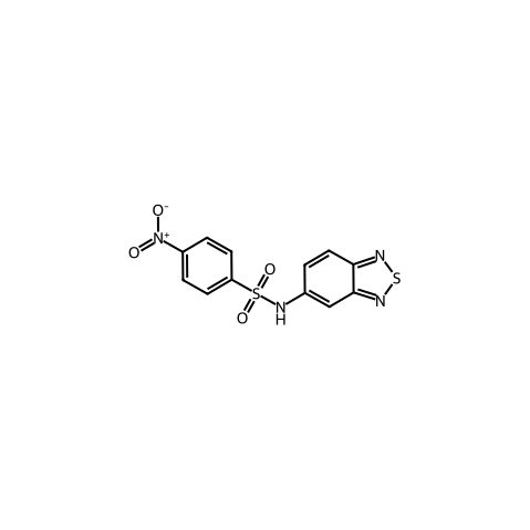 O=[N+]([O-])c1ccc(S(=O)(=O)Nc2ccc3nsnc3c2)cc1